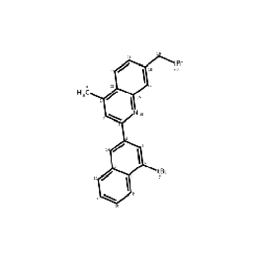 Cc1cc(-c2cc(C(C)(C)C)c3ccccc3c2)nc2cc(CC(C)C)ccc12